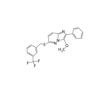 COc1c(-c2ccccc2)nc2ccc(SCc3cccc(C(F)(F)F)c3)nn12